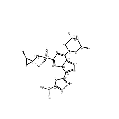 C[C@@H]1C[C@]1(C)NS(=O)(=O)c1cc(N2C[C@H](C)N[C@@H](C)C2)c2ncc(-c3nnc(C(F)F)s3)n2c1